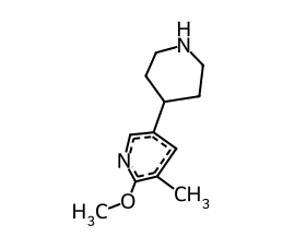 COc1ncc(C2CCNCC2)cc1C